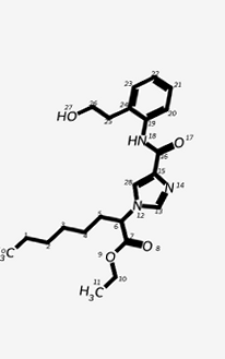 CCCCCCC(C(=O)OCC)n1cnc(C(=O)Nc2ccccc2CCO)c1